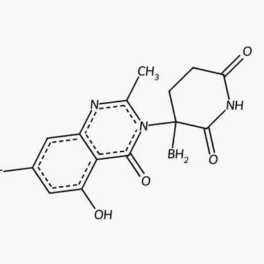 BC1(n2c(C)nc3cc(Br)cc(O)c3c2=O)CCC(=O)NC1=O